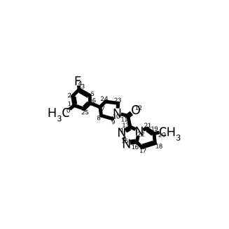 Cc1cc(F)cc(C2CCN(C(=O)c3nnc4ccc(C)cn34)CC2)c1